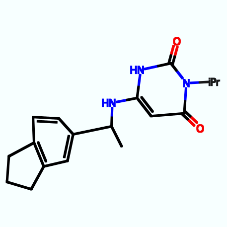 CC(Nc1cc(=O)n(C(C)C)c(=O)[nH]1)c1ccc2c(c1)CCC2